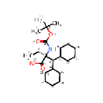 CC[C@@](NC(=O)OC(C)(C)C)(C(=O)O)C(C1CCCCC1)C1CCCCC1